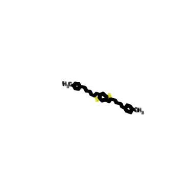 Cc1ccc(/C=C/C=C/c2cc3cc4c(cc3s2)CC(/C=C/C=C/c2ccc(C)cc2)S4)cc1